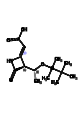 C[C@@H](O[Si](C)(C)C(C)(C)C)[C@H]1C(=O)N/C1=C\C(=O)O